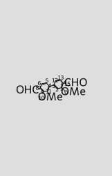 COc1cc(-c2ccc(C=O)c(OC)c2)ccc1C=O